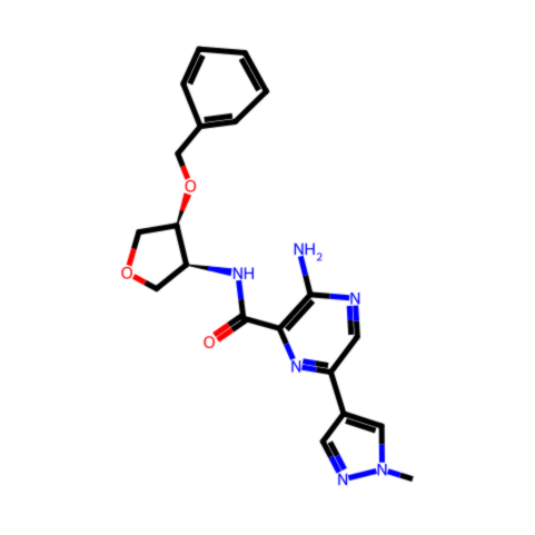 Cn1cc(-c2cnc(N)c(C(=O)N[C@H]3COC[C@H]3OCc3ccccc3)n2)cn1